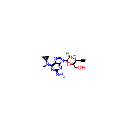 C#C[C@H](O)[C@@H](CO)O[C@H](CF)n1cnc2c(N(C)C3CC3)nc(N)nc21